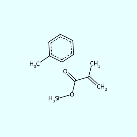 C=C(C)C(=O)O[SiH3].Cc1ccccc1